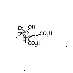 CCP(=O)(N[C@@H](CCC(=O)O)C(=O)O)SO